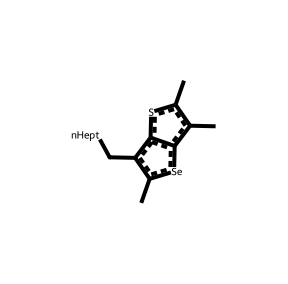 CCCCCCCCc1c(C)[se]c2c(C)c(C)sc12